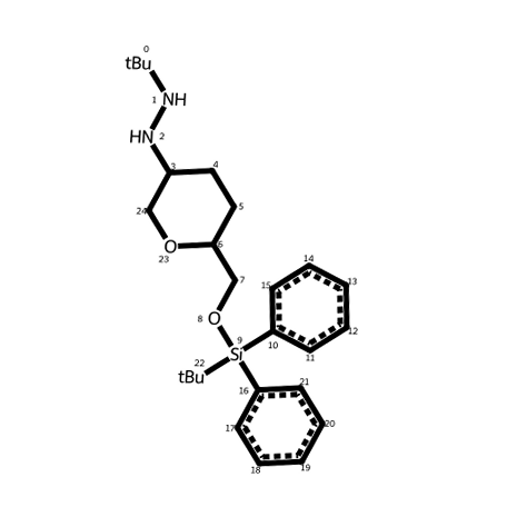 CC(C)(C)NNC1CCC(CO[Si](c2ccccc2)(c2ccccc2)C(C)(C)C)OC1